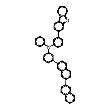 c1ccc(N(c2cccc(-c3ccc4ccc(-c5ccc6ccccc6c5)cc4c3)c2)c2cccc(-c3ccc4c(c3)oc3ccccc34)c2)cc1